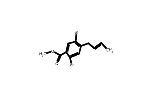 CC=CCc1cc(Br)c(C(=O)OC)cc1Br